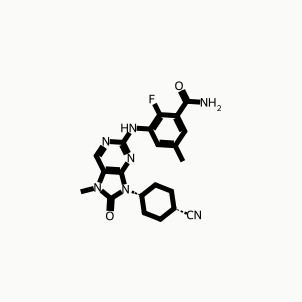 Cc1cc(Nc2ncc3c(n2)n([C@H]2CC[C@@H](C#N)CC2)c(=O)n3C)c(F)c(C(N)=O)c1